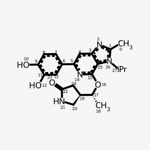 Cc1nc2cc(-c3ccc(O)c(O)c3)nc(O[C@H](C)[C@H]3CNC(=O)C3)c2n1C(C)C